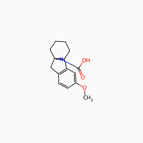 COc1ccc2c(c1)C13CCCCC1(CCCN3C(=O)O)C2